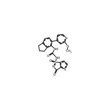 COc1cc(-c2ccc3c(c2NC(=O)NS2(=O)=NC(=O)c4sccc42)CCC3)ccn1